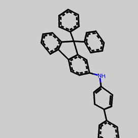 C1=CC(c2ccccc2)CC=C1Nc1ccc2c(c1)C(c1ccccc1)(c1ccccc1)c1ccccc1-2